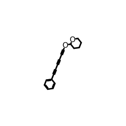 C(#CC#Cc1ccccc1)C#COC1CCCCO1